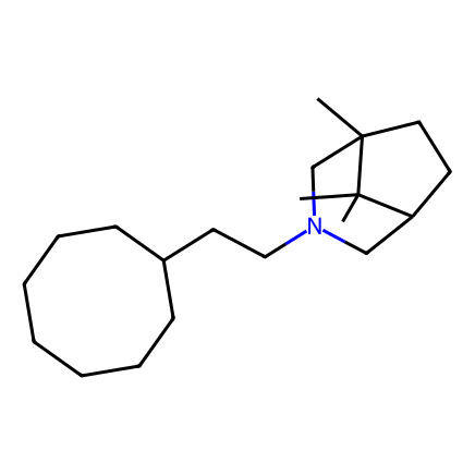 CC12CCC(CN(CCC3CCCCCCC3)C1)C2(C)C